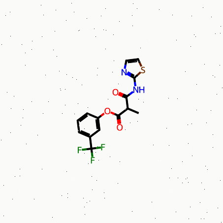 CC(C(=O)Nc1nccs1)C(=O)Oc1cccc(C(F)(F)F)c1